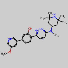 COc1cncc(-c2ccc(C(=N)/C=C\C(=N)N(C)C3CC(C)(C)NC(C)(C)C3)c(O)c2)c1